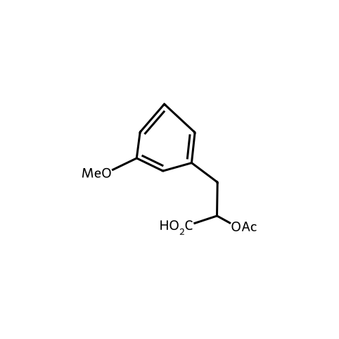 COc1cccc(CC(OC(C)=O)C(=O)O)c1